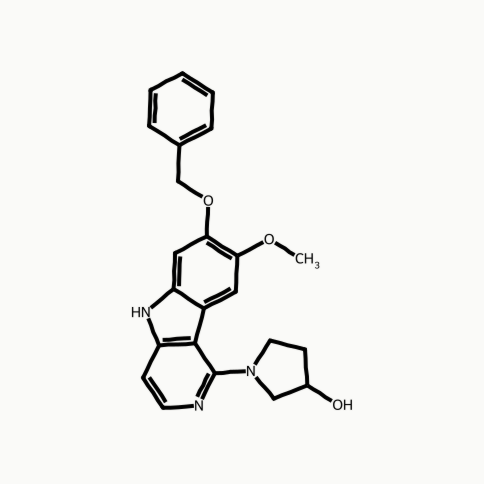 COc1cc2c(cc1OCc1ccccc1)[nH]c1ccnc(N3CCC(O)C3)c12